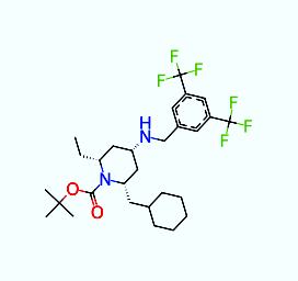 CC[C@@H]1C[C@H](NCc2cc(C(F)(F)F)cc(C(F)(F)F)c2)C[C@H](CC2CCCCC2)N1C(=O)OC(C)(C)C